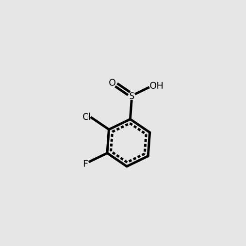 O=S(O)c1cccc(F)c1Cl